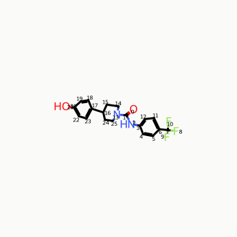 O=C(Nc1ccc(C(F)(F)F)cc1)N1CCC(c2ccc(O)cc2)CC1